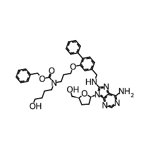 Nc1ncnc2c1nc(NCc1ccc(-c3ccccc3)c(OCCCN(CCCCO)C(=O)OCc3ccccc3)c1)n2[C@H]1CC[C@@H](CO)O1